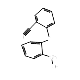 CNc1ccccc1Sc1ccccc1C#N